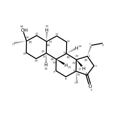 CC[C@@H]1CC(=O)[C@@]2(C)CC[C@H]3[C@@H](CC[C@@H]4C[C@](C)(O)CC[C@@H]43)[C@H]12